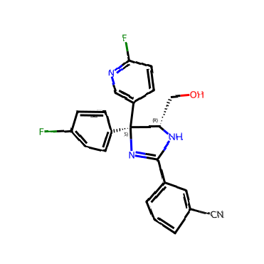 N#Cc1cccc(C2=N[C@@](c3ccc(F)cc3)(c3ccc(F)nc3)[C@H](CO)N2)c1